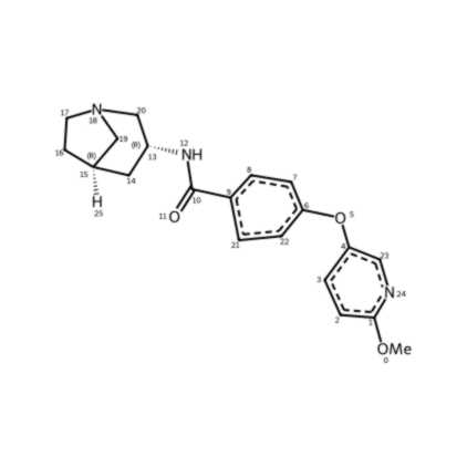 COc1ccc(Oc2ccc(C(=O)N[C@@H]3C[C@H]4CCN(C4)C3)cc2)cn1